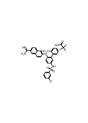 N=C(N)c1ccc2cc(Oc3ccc(NS(=O)(=O)c4cccc(Cl)c4)cc3-c3ccccc3C(=O)O)ccc2c1.O=C(O)C(F)(F)F